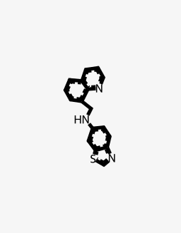 c1cnc2c(CNc3ccc4ncsc4c3)cccc2c1